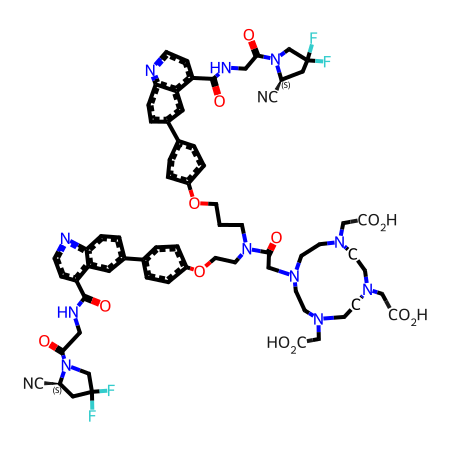 N#C[C@@H]1CC(F)(F)CN1C(=O)CNC(=O)c1ccnc2ccc(-c3ccc(OCCCN(CCOc4ccc(-c5ccc6nccc(C(=O)NCC(=O)N7CC(F)(F)C[C@H]7C#N)c6c5)cc4)C(=O)CN4CCN(CC(=O)O)CCN(CC(=O)O)CCN(CC(=O)O)CC4)cc3)cc12